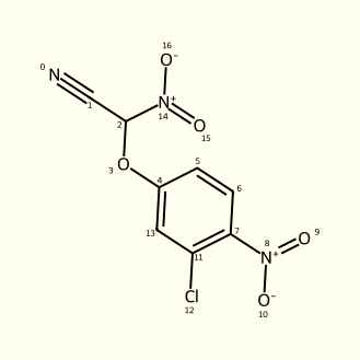 N#CC(Oc1ccc([N+](=O)[O-])c(Cl)c1)[N+](=O)[O-]